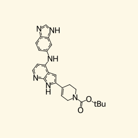 CC(C)(C)OC(=O)N1CC=C(c2cc3c(Nc4ccc5nc[nH]c5c4)ccnc3[nH]2)CC1